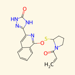 C=CC(=O)N1CCCC1SOc1nc(-c2n[nH]c(=O)[nH]2)cc2ccccc12